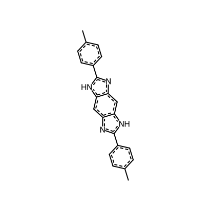 Cc1ccc(-c2nc3cc4[nH]c(-c5ccc(C)cc5)nc4cc3[nH]2)cc1